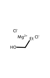 CCCO.[Cl-].[Cl-].[Mg+2]